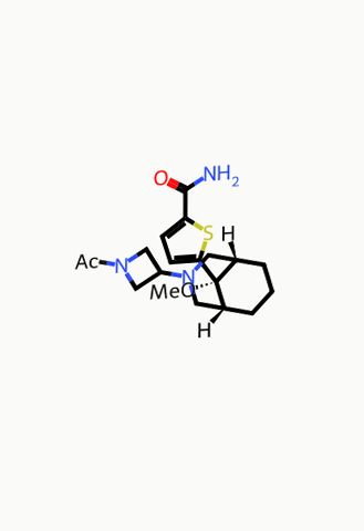 CO[C@@]1(c2ccc(C(N)=O)s2)[C@@H]2CCC[C@H]1CN(C1CN(C(C)=O)C1)C2